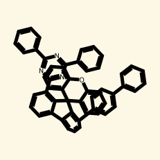 c1ccc(-c2ccc(-c3cccc4c3C3(c5ccccc5Oc5ccccc53)c3c(-c5nc(-c6ccccc6)nc(-c6ccccc6)n5)cccc3-4)cc2)cc1